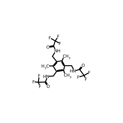 Cc1c(CNC(=O)C(F)(F)F)c(C)c(CNC(=O)C(F)(F)F)c(C)c1CNC(=O)C(F)(F)F